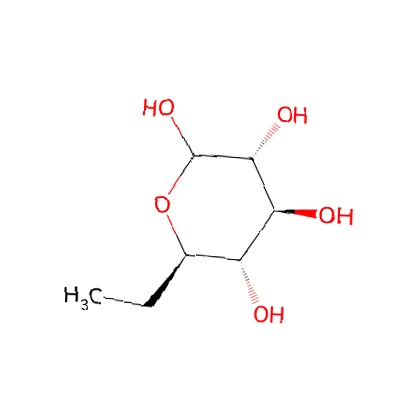 CC[C@H]1OC(O)[C@H](O)[C@@H](O)[C@@H]1O